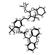 C[SiH](C)OC(OC1CCCCC1)C(CCc1ccc(C(C)(C)C)c(NC(=O)CC2c3ccccc3Oc3ccccc32)c1)C(C)(C)C